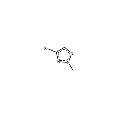 Cn1ncc(Br)n1